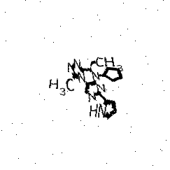 CC[C@@H]1c2nnc(C)n2-c2cnc(-c3ccc[nH]3)nc2N1C1CCCC1